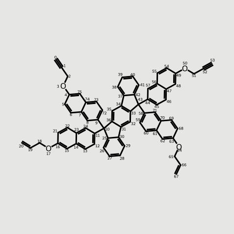 C#CCOc1ccc2cc(C3(c4ccc5cc(OCC=C)ccc5c4)c4ccccc4-c4cc5c(cc43)-c3ccccc3C5(c3ccc4cc(OCC#C)ccc4c3)c3ccc4cc(OCC=C)ccc4c3)ccc2c1